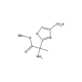 CC(C)(C)OC(=O)C(C)(N)c1nc(C(=O)O)co1